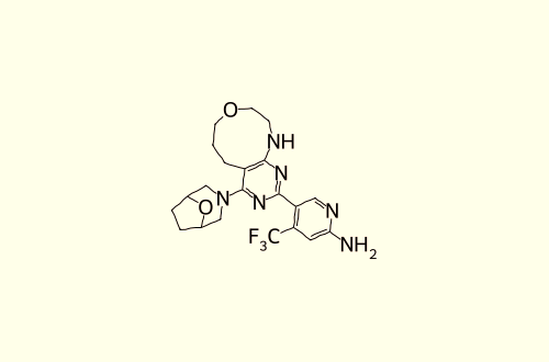 Nc1cc(C(F)(F)F)c(-c2nc3c(c(N4CC5CCC(C4)O5)n2)CCCOCCN3)cn1